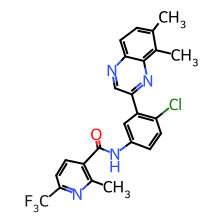 Cc1ccc2ncc(-c3cc(NC(=O)c4ccc(C(F)(F)F)nc4C)ccc3Cl)nc2c1C